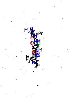 CCCN(CCNC(=O)c1ccc(NC(=O)c2ncc(-c3cn(C4CC4)nc3C(F)(F)F)n2C)cc1Cl)C(=O)N1CC(N)C1